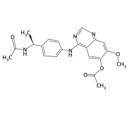 COc1cc2ncnc(Nc3ccc([C@H](C)NC(C)=O)cc3)c2cc1OC(C)=O